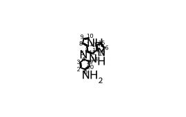 Nc1ccc2nc(-c3ccc[nH]3)c(-c3ccc[nH]3)nc2c1